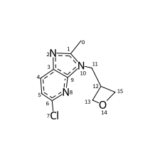 Cc1nc2ccc(Cl)nc2n1CC1COC1